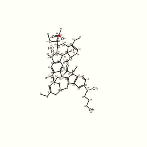 CCC1=C[C@H]2CN(C1)Cc1c([nH]c3ccc([S+]([O-])CCCO)cc13)[C@@](C(=O)OC)(c1cc3c(cc1OC)N(C)[C@H]1[C@@](O)(C(=O)OC)[C@H](OC(C)=O)C4C(CC)=CCN5CC[C@]31[C@H]45)C2